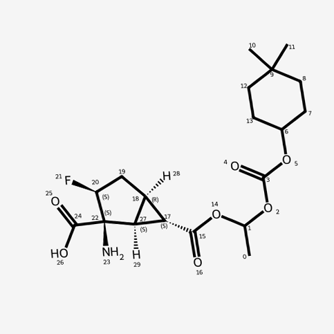 CC(OC(=O)OC1CCC(C)(C)CC1)OC(=O)[C@H]1[C@@H]2C[C@H](F)[C@@](N)(C(=O)O)[C@@H]21